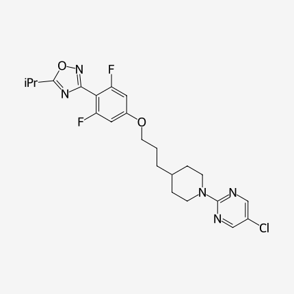 CC(C)c1nc(-c2c(F)cc(OCCCC3CCN(c4ncc(Cl)cn4)CC3)cc2F)no1